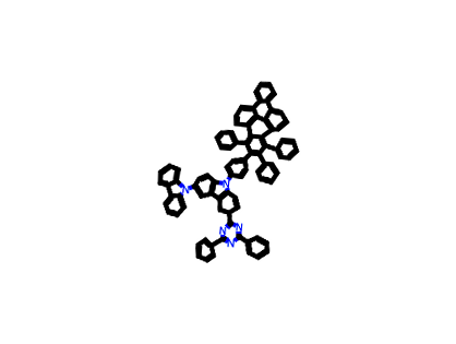 C1=CC(c2nc(-c3ccccc3)nc(-c3ccccc3)n2)Cc2c1n(-c1ccc(-c3c(-c4ccccc4)c(-c4ccccc4)c4c5cccc6c7ccccc7c7cccc(c4c3-c3ccccc3)c7c65)cc1)c1ccc(-n3c4ccccc4c4ccccc43)cc21